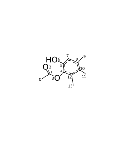 CC(=O)Oc1c(O)cc(C)c(C)c1C